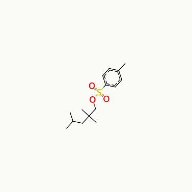 Cc1ccc(S(=O)(=O)OCC(C)(C)CC(C)C)cc1